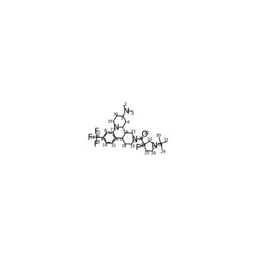 CN(C)C1CCN(c2cc(C(F)(F)F)ccc2C2CCN(C(=O)[C@@]3(F)CCN(C(C)(C)C)C3)CC2)CC1